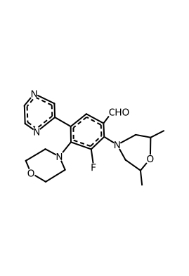 CC1CN(c2c(C=O)cc(-c3cnccn3)c(N3CCOCC3)c2F)CC(C)O1